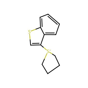 c1ccc2c([S+]3CCCC3)csc2c1